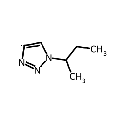 CCC(C)n1c[c]nn1